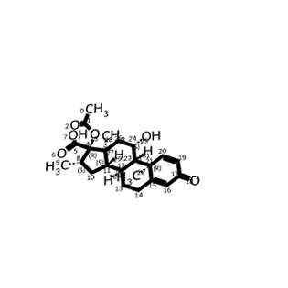 CC(=O)O[C@]1(C(=O)O)[C@@H](C)C[C@H]2[C@@H]3CCC4=CC(=O)C=C[C@]4(C)[C@H]3[C@@H](O)C[C@@]21C